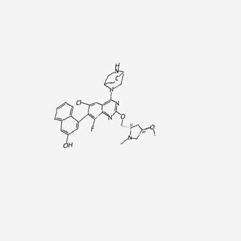 CO[C@@H]1C[C@@H](COc2nc(N3CC4CCCC3CN4)c3cc(Cl)c(-c4cc(O)cc5ccccc45)c(F)c3n2)N(C)C1